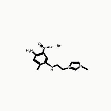 Cc1cc(N)c([N+](=O)[O-])cc1NCC[n+]1ccn(C)c1.[Br-]